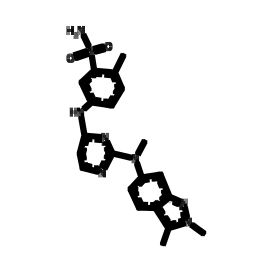 Cc1ccc(Nc2ccnc(N(C)c3ccc4c(C)n(C)nc4c3)n2)cc1S(N)(=O)=O